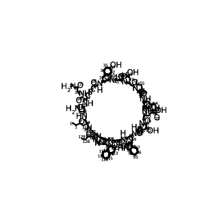 CCCC[C@H]1C(=O)N[C@@H](CN)C(=O)N[C@H](C(=O)NCC(N)=O)CSCC(=O)N[C@@H](Cc2ccc(O)cc2)C(=O)N(C)[C@@H](C)C(=O)N[C@@H](CC(=O)O)C(=O)N2CCC[C@H]2C(=O)N[C@@H](Cc2cnc[nH]2)C(=O)N[C@@H](CCC(=O)O)C(=O)N2C[C@H](O)C[C@H]2C(=O)N[C@@H](Cc2c[nH]c3ccccc23)C(=O)N[C@@H](CO)C(=O)N[C@@H](Cc2cccc3ccccc23)c2nnnn2[C@@H](CCCC)C(=O)N1C